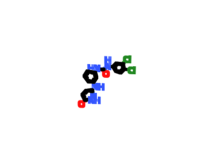 O=C(Nc1cccc(Nc2ccc(=O)[nH]n2)c1)Nc1ccc(Cl)c(Cl)c1